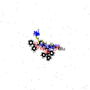 Cn1nnc(SCSC2=C(C(=O)OC(c3ccccc3)c3ccccc3)N3C(=O)[C@@H](NC(=O)/C(=N\OC(c4ccccc4)(c4ccccc4)c4ccccc4)c4csc(NC(=O)OC(C)(C)C)n4)[C@@H]3SC2)n1